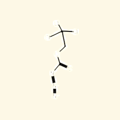 [N-]=[N+]=NC(=O)OCC(Cl)(Cl)Cl